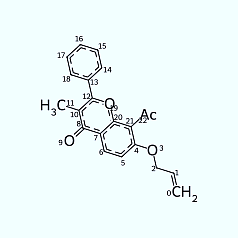 C=CCOc1ccc2c(=O)c(C)c(-c3ccccc3)oc2c1C(C)=O